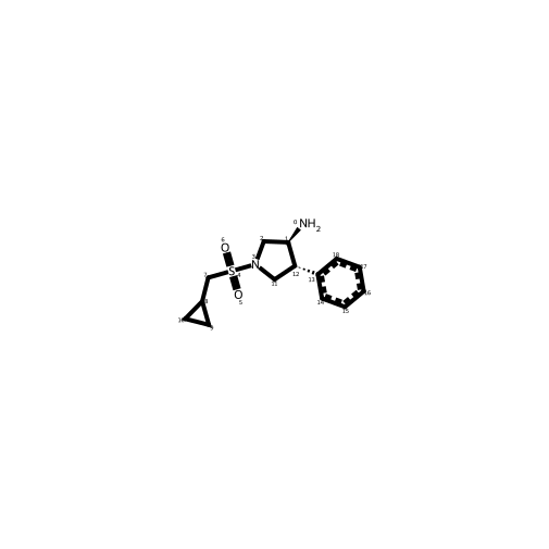 N[C@@H]1CN(S(=O)(=O)CC2CC2)C[C@H]1c1ccccc1